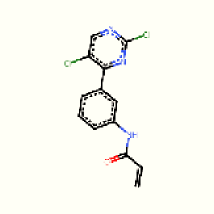 C=CC(=O)Nc1cccc(-c2nc(Cl)ncc2Cl)c1